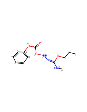 CCCOC(=NNOC(=O)Oc1ccccc1)NC